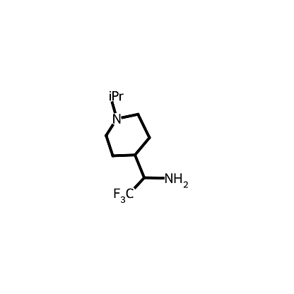 CC(C)N1CCC(C(N)C(F)(F)F)CC1